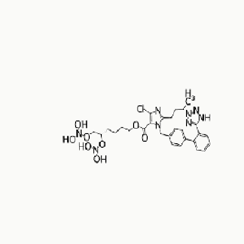 CCCCc1nc(Cl)c(C(=O)OCCCC[C@@H](CON(O)O)ON(O)O)n1Cc1ccc(-c2ccccc2-c2nnn[nH]2)cc1